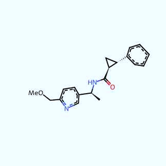 COCc1ccc([C@H](C)NC(=O)[C@H]2C[C@@H]2c2ccccc2)cn1